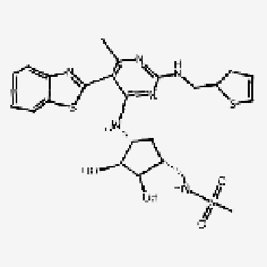 Cc1nc(NCC2CC=CS2)nc(N[C@@H]2C[C@H](CNS(C)(=O)=O)[C@@H](O)[C@H]2O)c1-c1nc2ccccc2s1